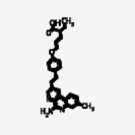 CCC(CCCOc1ccc(CCc2cnc3c(N)nc4cc(C)ccc4c3c2)cc1)C(=O)O